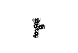 O=C(O)c1cc2ccc(N(Cc3ccc4c(c3)OCO4)Cc3ccc4c(c3)OCO4)cc2oc1=O